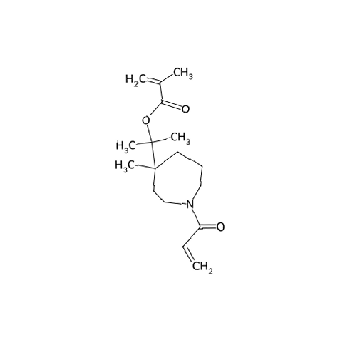 C=CC(=O)N1CCCC(C)(C(C)(C)OC(=O)C(=C)C)CC1